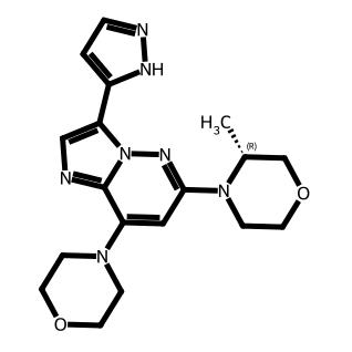 C[C@@H]1COCCN1c1cc(N2CCOCC2)c2ncc(-c3ccn[nH]3)n2n1